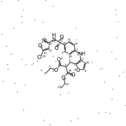 CCOC(=O)C(Cc1occc1Nc1ccc(S(=O)(=O)Nc2cc(Cl)on2)cc1)C(=O)OCC